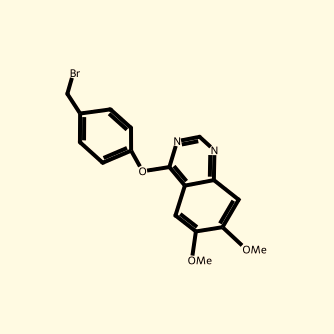 COc1cc2ncnc(Oc3ccc(CBr)cc3)c2cc1OC